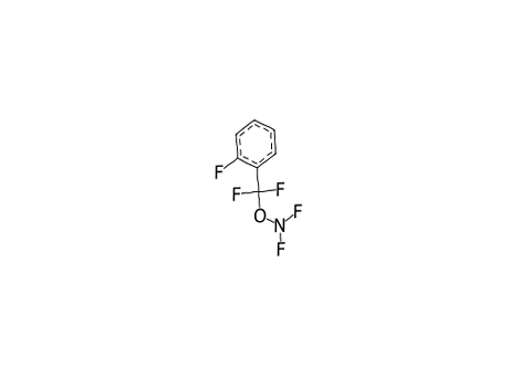 Fc1ccccc1C(F)(F)ON(F)F